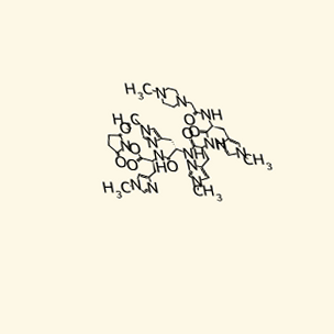 CN1CCN(CC(=O)N[C@@H](Cc2cn(C)cn2)C(=O)N[C@@H](Cc2cn(C)cn2)C(=O)N[C@@H](Cc2cn(C)cn2)C(=O)N[C@@H](Cc2cn(C)cn2)C(=O)ON2C(=O)CCC2=O)CC1